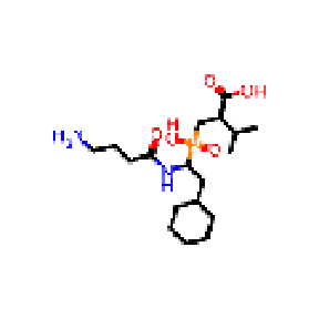 CC(C)C(CP(=O)(O)C(CC1CCCCC1)NC(=O)CCCN)C(=O)O